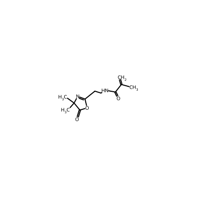 C=C(C)C(=O)NCCC1=NC(C)(C)C(=O)O1